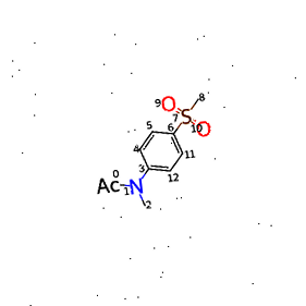 CC(=O)N(C)c1ccc(S(C)(=O)=O)cc1